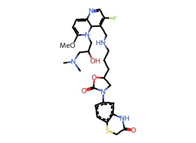 COC1=CC=C2N=CC(F)=C(CNCCCC3CN(c4ccc5c(c4)NC(=O)CS5)C(=O)O3)C2N1CC(O)CN(C)C